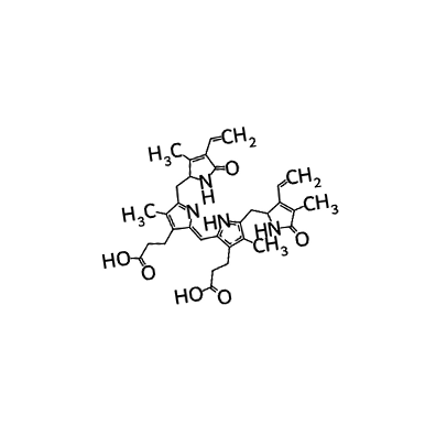 C=CC1=C(C)C(CC2=N/C(=C\c3[nH]c(CC4NC(=O)C(C)=C4C=C)c(C)c3CCC(=O)O)C(CCC(=O)O)=C2C)NC1=O